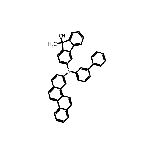 CC1(C)c2ccccc2-c2cc(N(c3cccc(-c4ccccc4)c3)c3ccc4ccc5c6ccccc6ccc5c4c3)ccc21